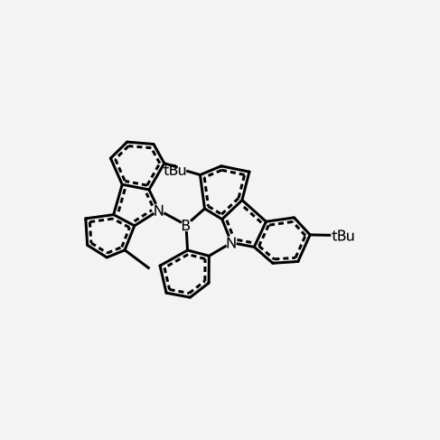 Cc1cccc2c3cccc(C)c3n(B3c4ccccc4-n4c5ccc(C(C)(C)C)cc5c5ccc(C(C)(C)C)c3c54)c12